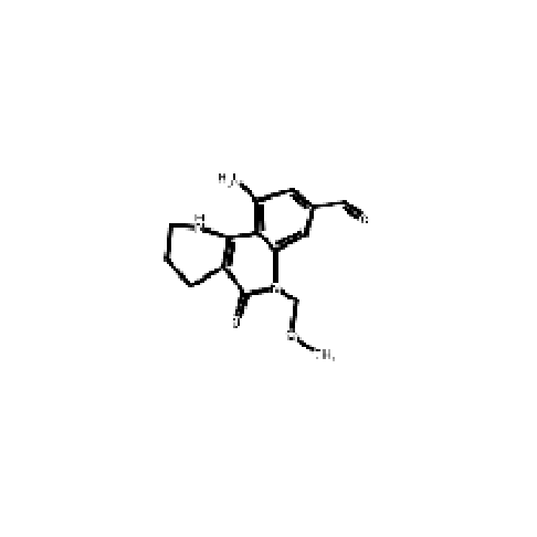 COCn1c(=O)c2c(c3c(C)cc(C=O)cc31)NCCC2